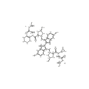 CN[C@@H](C)C(=O)N[C@H](C(=O)N1C[C@@H](F)C[C@H]1Cn1c(-c2[nH]c3cc(F)ccc3c2C[C@@H]2C[C@H](F)CN2C(=O)[C@@H](NC(=O)[C@H](C)NC)C2CC2)nc2cc(F)ccc21)C1=CCCCC1